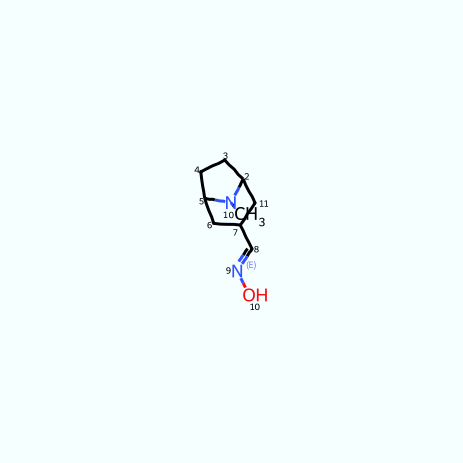 CN1C2CCC1CC(/C=N/O)C2